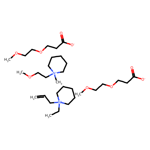 C=CC[N+]1(CC)CCCCC1.COCCOCCC(=O)[O-].COCCOCCC(=O)[O-].COCC[N+]1(C)CCCCC1